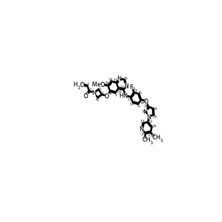 C=CC(=O)N1CC(Oc2cc3c(Nc4ccc(Oc5ccn(-c6cnc(C)c(C)c6)n5)cc4F)ncnc3cc2OC)C1